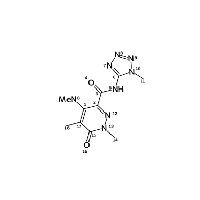 CNc1c(C(=O)Nc2nnnn2C)nn(C)c(=O)c1C